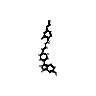 Cc1cc(CC=O)ccc1OCCCN1CCC(c2onc3cc(F)ccc23)CC1